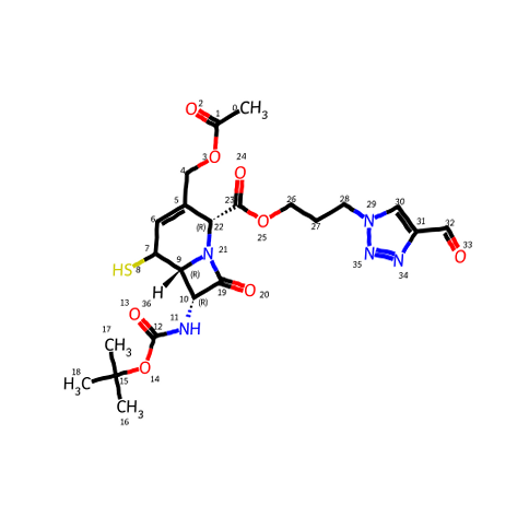 CC(=O)OCC1=CC(S)[C@H]2[C@@H](NC(=O)OC(C)(C)C)C(=O)N2[C@H]1C(=O)OCCCn1cc(C=O)nn1